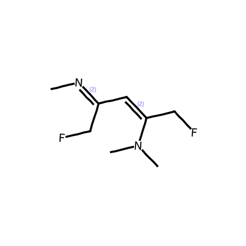 C/N=C(/C=C(/CF)N(C)C)CF